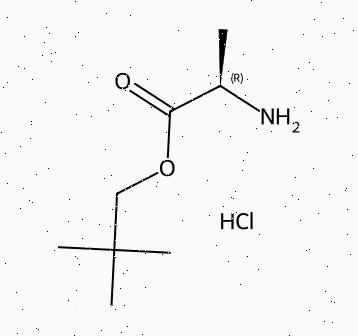 C[C@@H](N)C(=O)OCC(C)(C)C.Cl